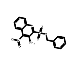 Nc1c(S(=O)(=O)OCc2ccccc2)nc2ccccc2c1[N+](=O)[O-]